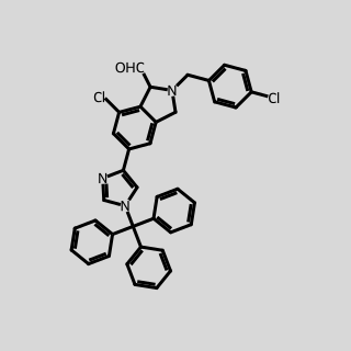 O=CC1c2c(Cl)cc(-c3cn(C(c4ccccc4)(c4ccccc4)c4ccccc4)cn3)cc2CN1Cc1ccc(Cl)cc1